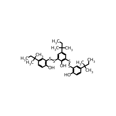 CCC(C)(C)c1ccc(O)c(SSc2cc(C(C)(C)CC)cc(SSc3cc(C(C)(C)CC)ccc3O)c2O)c1